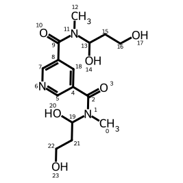 CN(C(=O)c1cncc(C(=O)N(C)C(O)CCO)c1)C(O)CCO